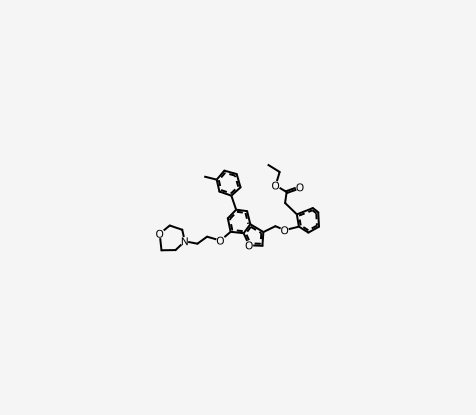 CCOC(=O)Cc1ccccc1OCc1coc2c(OCCN3CCOCC3)cc(-c3cccc(C)c3)cc12